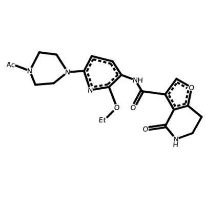 CCOc1nc(N2CCN(C(C)=O)CC2)ccc1NC(=O)c1coc2c1C(=O)NCC2